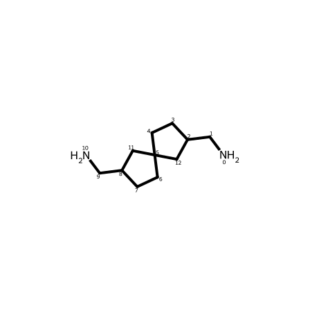 NCC1CCC2(CCC(CN)C2)C1